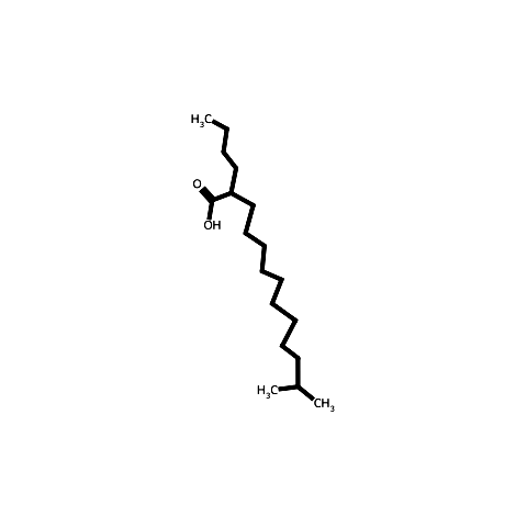 CCCCC(CCCCCCCCCC(C)C)C(=O)O